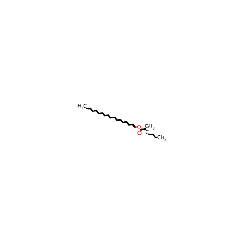 CCCC=C=C(C)C(=O)OCCCCCCCCCCCCCCCCCC